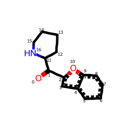 O=C(c1cc2ccccc2o1)C1CCCCN1